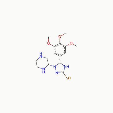 COc1cc(C2NC(S)=NN2C2CNCCN2)cc(OC)c1OC